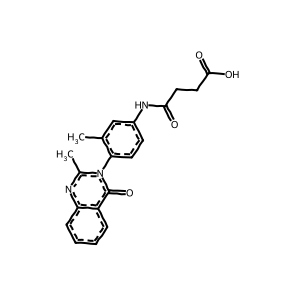 Cc1cc(NC(=O)CCC(=O)O)ccc1-n1c(C)nc2ccccc2c1=O